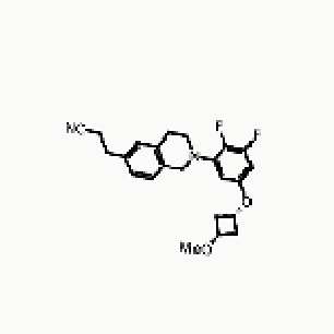 CO[C@H]1C[C@H](Oc2cc(F)c(F)c(N3CCc4cc(CCC#N)ccc4C3)c2)C1